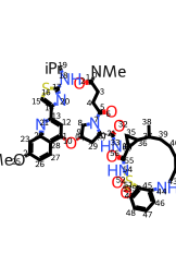 CNC(=O)CCC(=O)N1C[C@H](Oc2cc(-c3csc(NC(C)C)n3)nc3cc(OC)ccc23)C[C@H]1C(=O)N[C@]12CC1C(C)CCCCCNc1ccccc1S(=O)(=O)NC2=O